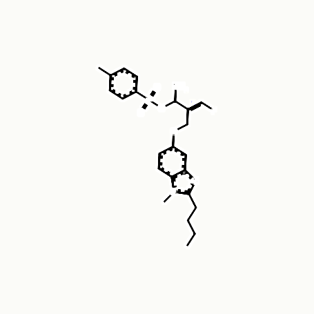 CCCCc1nc2cc(OC/C(=C\F)C(N)OS(=O)(=O)c3ccc(C)cc3)ccc2n1C